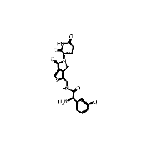 NC(C(=O)NCc1scc2c1CN(C1CCC(=O)NC1=O)C2=O)c1cccc(Cl)c1